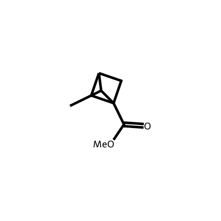 COC(=O)C12CC(C1)C2C